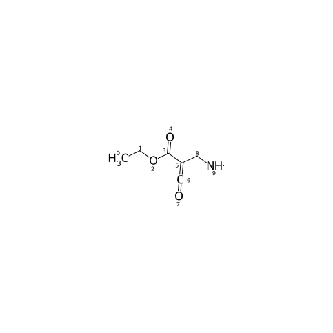 CCOC(=O)C(=C=O)C[NH]